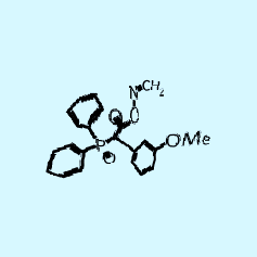 C=NOC(=O)C(c1cccc(OC)c1)P(=O)(c1ccccc1)c1ccccc1